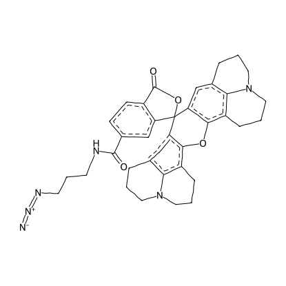 [N-]=[N+]=NCCCNC(=O)c1ccc2c(c1)C1(OC2=O)c2cc3c4c(c2Oc2c1cc1c5c2CCCN5CCC1)CCCN4CCC3